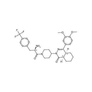 COc1ccc(C2=NN(C3CCN(C(=O)[C@H](N)Cc4ccc(C(F)(F)F)cc4)CC3)C(=O)[C@@H]3CCCC[C@H]23)cc1OC